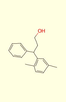 Cc1ccc(C)c(C(CCO)c2ccccc2)c1